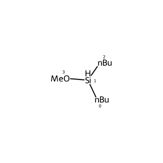 CCCC[SiH](CCCC)OC